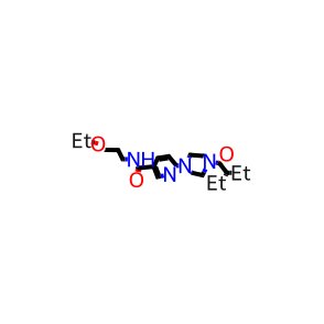 CCOCCCNC(=O)c1ccc(N2CCN(C(=O)C(CC)CC)CC2)nc1